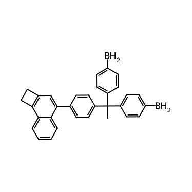 Bc1ccc(C(C)(c2ccc(B)cc2)c2ccc(-c3cc4c(c5ccccc35)CC4)cc2)cc1